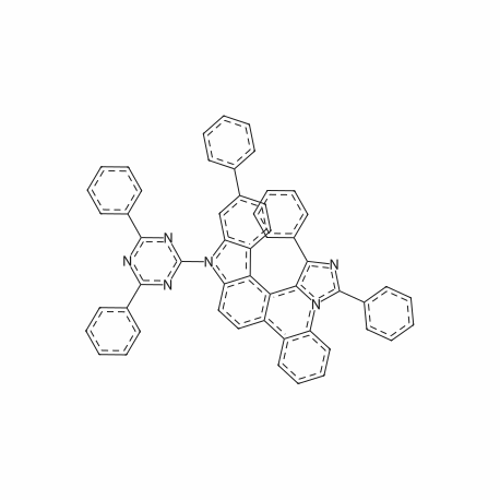 c1ccc(-c2ccc3c4c5c(ccc4n(-c4nc(-c6ccccc6)nc(-c6ccccc6)n4)c3c2)c2ccccc2n2c(-c3ccccc3)nc(-c3ccccc3)c52)cc1